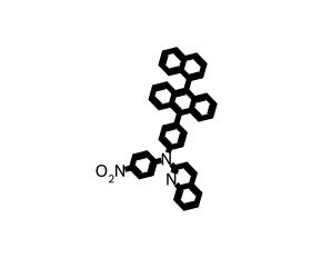 O=[N+]([O-])c1ccc(N(c2ccc(-c3c4ccccc4c(-c4cccc5ccccc45)c4ccccc34)cc2)c2ccc3ccccc3n2)cc1